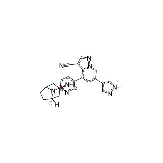 Cn1cc(-c2cc(-c3ccc(N4C5CC[C@H]4C[C@H](N)C5)nc3)c3c(C#N)cnn3c2)cn1